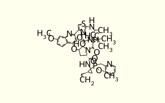 C=C[C@@H]1C[C@@]1(NC(=O)[C@@H]1C[C@@H](Oc2cc(-c3csc(NC(C)C)n3)nc3cc(OC)ccc23)CN1C(=O)[C@@H](NC(=O)O)C(C)(C)C)P(=O)(Cc1ccccn1)OCC